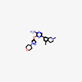 Cc1cc(-c2cnc(N)c(Oc3cnn(C4CCOCC4)c3)n2)cc2c1CCN(C)C2